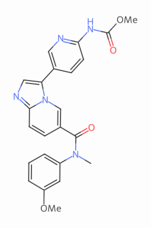 COC(=O)Nc1ccc(-c2cnc3ccc(C(=O)N(C)c4cccc(OC)c4)cn23)cn1